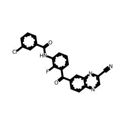 N#Cc1cnc2ccc(C(=O)c3cccc(NC(=O)c4cccc(Cl)c4)c3F)cc2n1